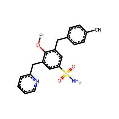 CCOc1c(Cc2ccc(C#N)cc2)cc(S(N)(=O)=O)cc1Cc1ccccn1